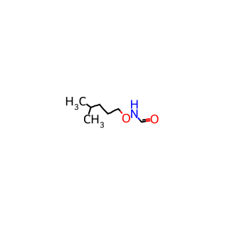 CC(C)CCCONC=O